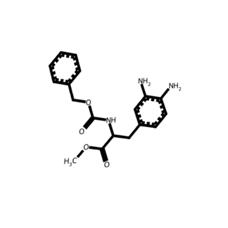 COC(=O)C(Cc1ccc(N)c(N)c1)NC(=O)OCc1ccccc1